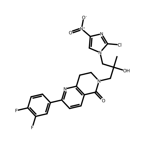 CC(O)(CN1CCc2nc(-c3ccc(F)c(F)c3)ccc2C1=O)Cn1cc([N+](=O)[O-])nc1Cl